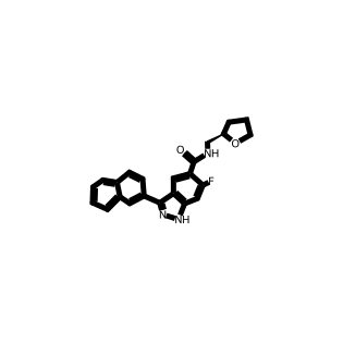 O=C(NC[C@H]1CCCO1)c1cc2c(-c3ccc4ccccc4c3)n[nH]c2cc1F